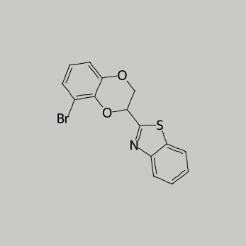 Brc1cccc2c1OC(c1nc3ccccc3s1)CO2